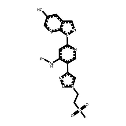 CC(C)[AsH]c1cc(-n2ncc3cc(C#N)cnc32)ncc1-c1cn(CCS(C)(=O)=O)nn1